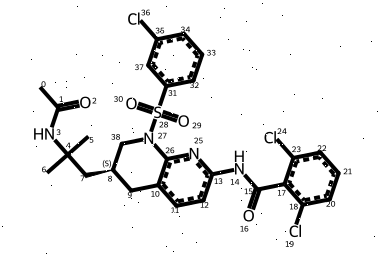 CC(=O)NC(C)(C)C[C@@H]1Cc2ccc(NC(=O)c3c(Cl)cccc3Cl)nc2N(S(=O)(=O)c2cccc(Cl)c2)C1